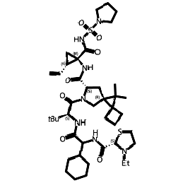 C=C[C@@H]1C[C@]1(NC(=O)[C@@H]1C[C@@]2(CN1C(=O)[C@@H](NC(=O)C(NC(=O)[C@@H]1SCCN1CC)C1CCCCC1)C(C)(C)C)C(C)(C)C21CCC1)C(=O)NS(=O)(=O)N1CCCC1